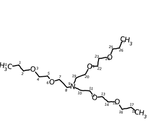 CCCOCCOCCN(CCOCCOCCC)CCOCCOCCC